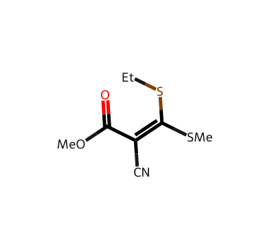 CCSC(SC)=C(C#N)C(=O)OC